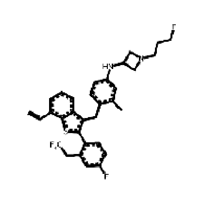 C=Cc1cccc2c(Cc3ccc(NC4CN(CCCF)C4)cc3C)c(-c3ccc(F)cc3CC(F)(F)F)sc12